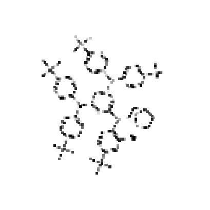 CC(C)(C)c1ccc(N(c2ccc(C(C)(C)C)cc2)c2cc(N(c3ccc(C(C)(C)C)cc3)c3ccc(C(C)(C)C)cc3)cc(N(c3ccc(C(C)(C)C)cc3Br)C3CC4CCC3C4)c2)cc1